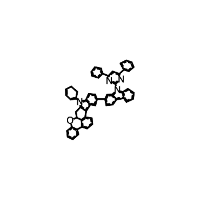 C1=CCCC(n2c3c(c4cc(-c5ccc6c7ccccc7n(-c7nc(-c8ccccc8)cc(-c8ccccc8)n7)c6c5)ccc42)-c2cccc4c2C(C3)Oc2ccccc2-4)=C1